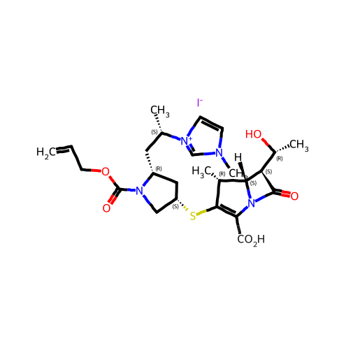 C=CCOC(=O)N1C[C@@H](SC2=C(C(=O)O)N3C(=O)[C@H]([C@@H](C)O)[C@H]3[C@H]2C)C[C@H]1C[C@H](C)[n+]1ccn(C)c1.[I-]